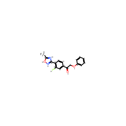 O=C(COc1ccccc1)c1ccc(-c2noc(C(F)(F)F)n2)c(F)c1